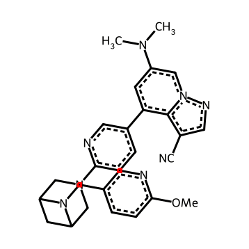 COc1ccc(CN2C3CC2CN(c2ccc(-c4cc(N(C)C)cn5ncc(C#N)c45)cn2)C3)cn1